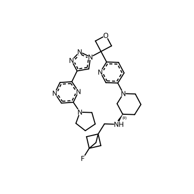 FC12CC(CN[C@@H]3CCCN(c4ccc(C5(n6cc(-c7cncc(N8CCCC8)n7)nn6)COC5)nc4)C3)(C1)C2